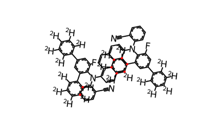 [2H]c1c([2H])c([2H])c(-c2cc(F)c(N(C3=CC=C4C=CC5=C(N(c6ccccc6C#N)c6c(F)cc(-c7c([2H])c([2H])c([2H])c([2H])c7[2H])cc6-c6c([2H])c([2H])c([2H])c([2H])c6[2H])C=CC6=CC=C3C4C65)c3ccccc3C#N)c(-c3c([2H])c([2H])c([2H])c([2H])c3[2H])c2)c([2H])c1[2H]